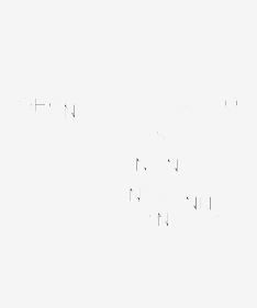 Nc1ncnc2c1nc(Sc1ccc3occc3c1)n2CCC1CCN(C=O)CC1